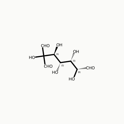 O=C[C@H](O)[C@@H](O)[C@H](O)[C@H](O)C(O)(C=O)C=O